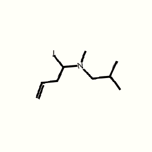 C=CCC(I)N(C)CC(C)C